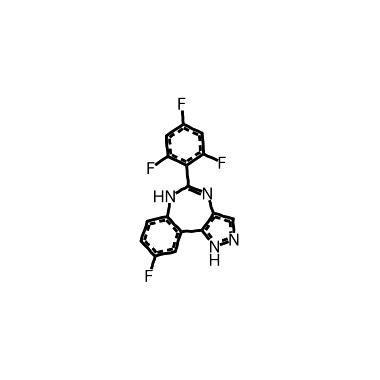 Fc1cc(F)c(C2=Nc3cn[nH]c3-c3cc(F)ccc3N2)c(F)c1